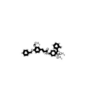 COc1cc(C=CC(=O)NC2CCC(Cc3ccccc3F)(N(C)C)CC2)ccc1OCc1ccccc1